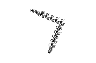 [H+].[H+].[H+].[H+].[H+].[H+].[H+].[H+].[H+].[H+].[NaH].[O-]B([O-])[O-].[O-]B([O-])[O-].[O-]B([O-])[O-].[O-]B([O-])[O-].[O-]B([O-])[O-].[O-]B([O-])[O-].[O-]B([O-])[O-].[O-]B([O-])[O-].[O-]B([O-])[O-].[O-]B([O-])[O-]